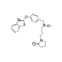 CCN(CCCN1CCCC1=O)Cc1ccc(Oc2nc3ccccc3s2)cc1